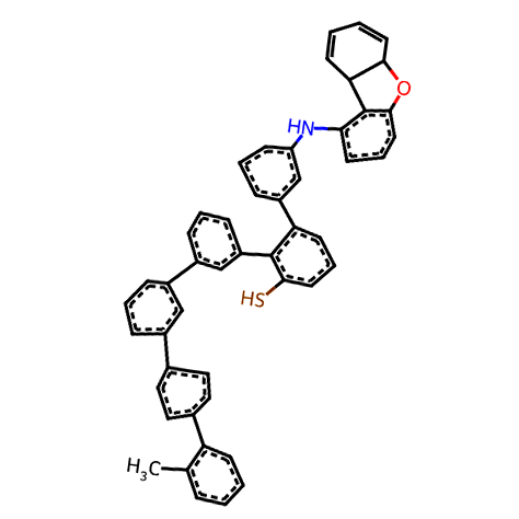 Cc1ccccc1-c1ccc(-c2cccc(-c3cccc(-c4c(S)cccc4-c4cccc(Nc5cccc6c5C5C=CC=CC5O6)c4)c3)c2)cc1